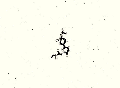 CCNC(=O)Cn1nc(-c2ccc(OC(F)F)[n+]([O-])c2)ccc1=O